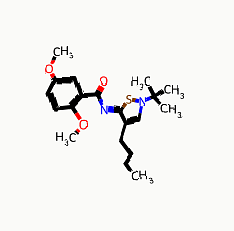 CCCCc1cn(C(C)(C)C)sc1=NC(=O)c1cc(OC)ccc1OC